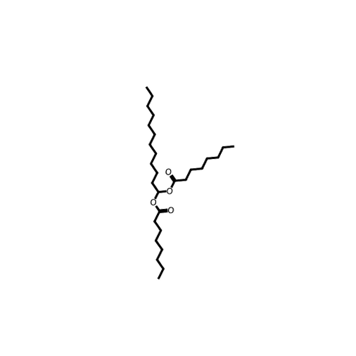 CCCCCCCCCCCC(OC(=O)CCCCCCC)OC(=O)CCCCCCC